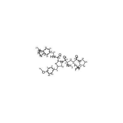 COc1ccc(CC2CC(C(=O)NCc3ccc4c(c3)nnn4C)N(C(=O)C(N)CCC(=O)N3CCCC3C(F)(F)F)C2)cc1